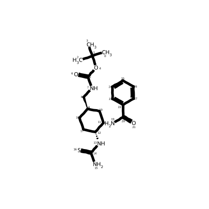 CC(C)(C)OC(=O)NC[C@H]1CC[C@H](NC(N)=S)CC1.NC(=O)c1ccccc1